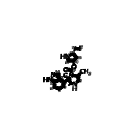 CC1CNCC(C)(c2cccc3[nH]ncc23)N1C(=O)O[C@H]1CN[C@H](CF)C1